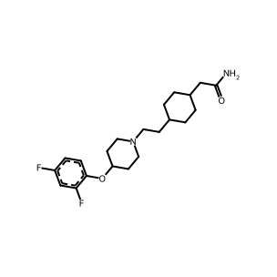 NC(=O)CC1CCC(CCN2CCC(Oc3ccc(F)cc3F)CC2)CC1